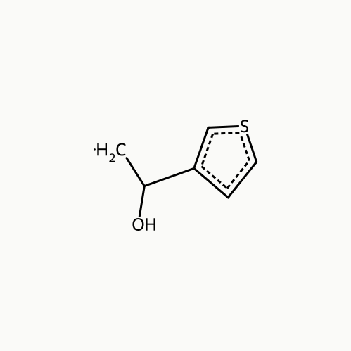 [CH2]C(O)c1ccsc1